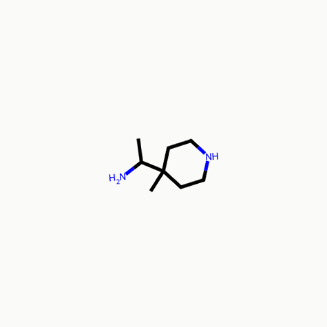 CC(N)C1(C)CCNCC1